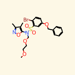 COCCOCN(c1onc(C)c1C)S(=O)(=O)c1cc(OCc2ccccc2)ccc1Br